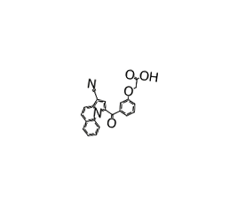 N#Cc1cc(C(=O)c2cccc(OCC(=O)O)c2)n2c1ccc1ccccc12